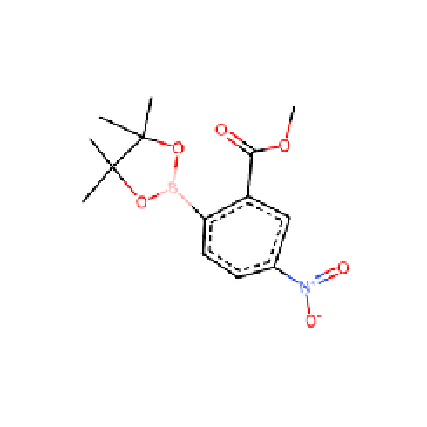 COC(=O)c1cc([N+](=O)[O-])ccc1B1OC(C)(C)C(C)(C)O1